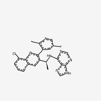 Cc1ncc(F)cc1-c1nc2c(Cl)cccc2cc1[C@H](C)Nc1ncnc2[nH]cnc12